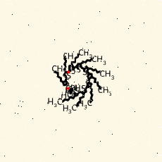 CCCCCCc1cc(C)sc1-c1cc(CCCCCC)c(-c2cc(CCCCCC)c(-c3cc(CCCCCC)c(-c4cc(CCCCCC)c(-c5cc(CCCCCC)c(-c6cc(CCCCCC)c(-c7cc(CCCCCC)c(-c8cc(CCCCCC)c(P(=O)(O)O)s8)s7)s6)s5)s4)s3)s2)s1